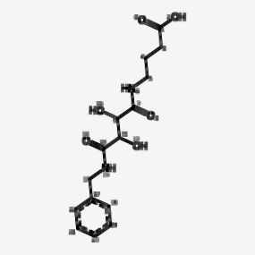 O=C(O)CCCNC(=O)C(O)C(O)C(=O)NCc1ccccc1